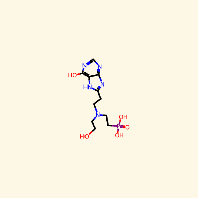 O=P(O)(O)CCN(CCO)CCc1nc2ncnc(O)c2[nH]1